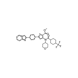 COC(=O)c1sc(-c2ccc(-c3cn4ccccc4n3)cc2)cc1N(C(=O)C1CCC(C(F)(F)F)CC1)C1CCOCC1